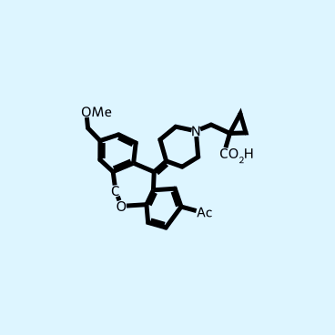 COCc1ccc2c(c1)COc1ccc(C(C)=O)cc1C2=C1CCN(CC2(C(=O)O)CC2)CC1